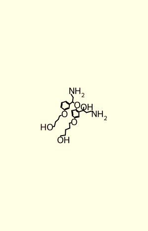 NCCC(O)c1cc(OCCCCCO)ccc1OC(CCN)c1cccc(OCCCCO)c1